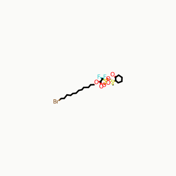 CS(C)(OS(=O)(=O)C(F)(F)C(=O)OCCCCCCCCCCCCBr)C1CCCCC1=O